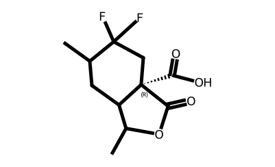 CC1OC(=O)[C@]2(C(=O)O)CC(F)(F)C(C)CC12